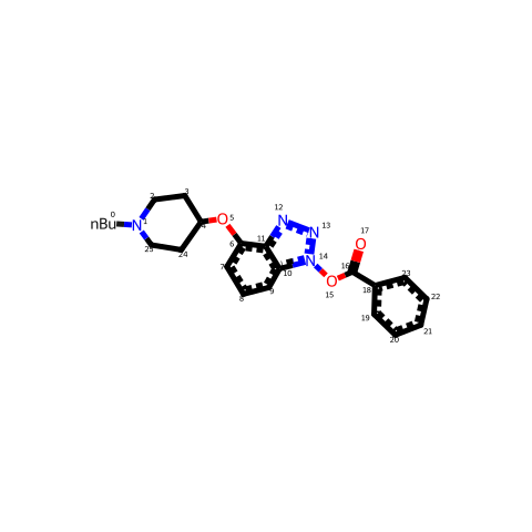 CCCCN1CCC(Oc2cccc3c2nnn3OC(=O)c2ccccc2)CC1